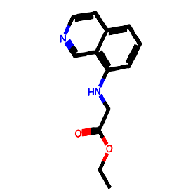 CCOC(=O)CNc1cccc2ccncc12